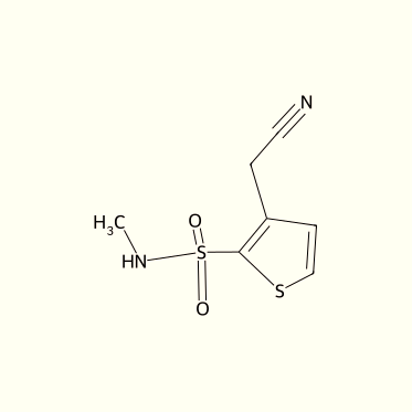 CNS(=O)(=O)c1sccc1CC#N